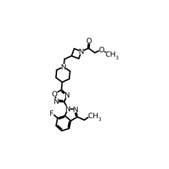 CCc1nn(-c2noc(C3CCN(CC4CN(C(=O)COC)C4)CC3)n2)c2c(F)cccc12